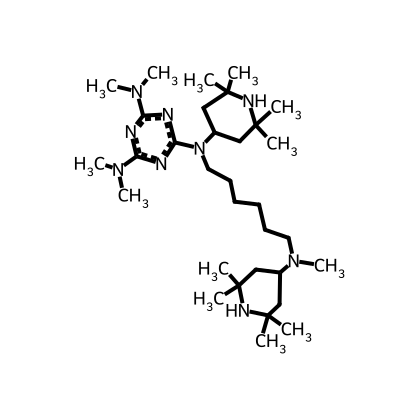 CN(C)c1nc(N(C)C)nc(N(CCCCCCN(C)C2CC(C)(C)NC(C)(C)C2)C2CC(C)(C)NC(C)(C)C2)n1